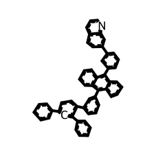 c1ccc(-c2ccc(-c3cccc(-c4c5ccccc5c(-c5cccc(-c6ccc7cccnc7c6)c5)c5ccccc45)c3)c(-c3ccccc3)c2)cc1